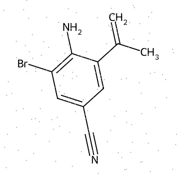 C=C(C)c1cc(C#N)cc(Br)c1N